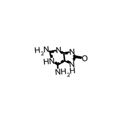 Nc1nc2nc(=O)[nH]c-2c(N)[nH]1